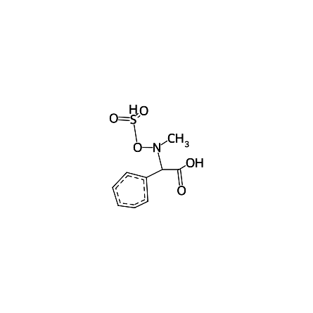 CN(O[SH](=O)=O)C(C(=O)O)c1ccccc1